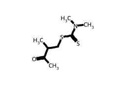 CC(=O)C(C)CSC(=S)N(C)C